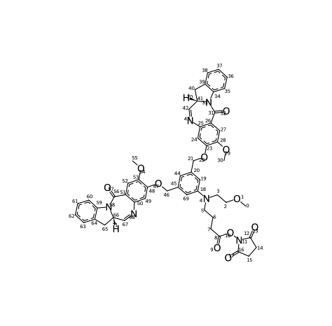 COCCN(CCCC(=O)ON1C(=O)CCC1=O)c1cc(COc2cc3c(cc2OC)C(=O)N2c4ccccc4C[C@H]2C=N3)cc(COc2cc3c(cc2OC)C(=O)N2c4ccccc4C[C@H]2C=N3)c1